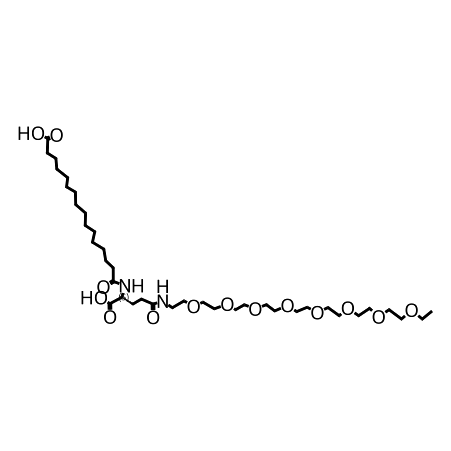 CCOCCOCCOCCOCCOCCOCCOCCOCCNC(=O)CC[C@H](NC(=O)CCCCCCCCCCCCCCC(=O)O)C(=O)O